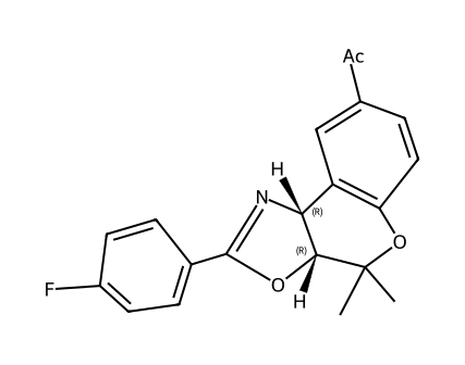 CC(=O)c1ccc2c(c1)[C@H]1N=C(c3ccc(F)cc3)O[C@H]1C(C)(C)O2